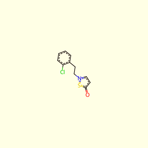 O=c1ccn(CCc2ccccc2Cl)s1